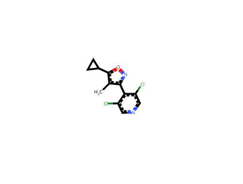 Cc1c(-c2c(Cl)cncc2Cl)noc1C1CC1